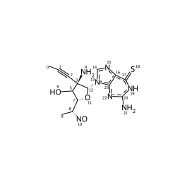 CC#C[C@@]1(N)C(O)[C@@H]([C@@H](C)N=O)O[C@H]1n1cnc2c(=S)[nH]c(N)nc21